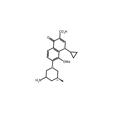 COc1c(N2CC(N)C[C@H](C)C2)ccc2c(=O)c(C(=O)O)cn(C3CC3)c12